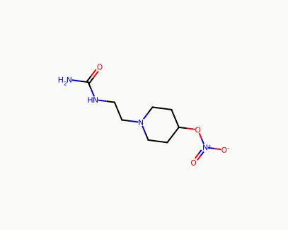 NC(=O)NCCN1CCC(O[N+](=O)[O-])CC1